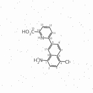 Nc1ccc(Cl)c2ccc(-c3cccc(C(=O)O)n3)cc12